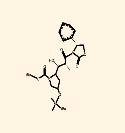 C[C@@H](C(=O)N1C(=O)OC[C@H]1c1ccccc1)[C@@H](O)C1CC(O[Si](C)(C)C(C)(C)C)CN1C(=O)OC(C)(C)C